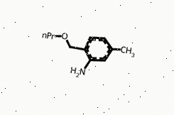 CCCOCc1ccc(C)cc1N